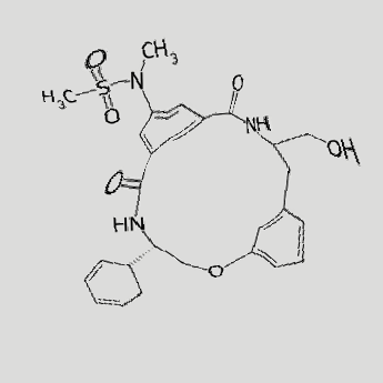 CN(c1cc2cc(c1)C(=O)N[C@@H](C1C=CC=CC1)COc1cccc(c1)CC(CO)NC2=O)S(C)(=O)=O